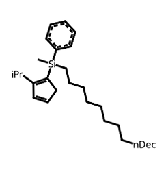 CCCCCCCCCCCCCCCCCC[Si](C)(C1=C(C(C)C)C=CC1)c1ccccc1